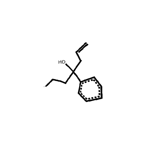 [CH2]CCC(O)(CC=C)c1ccccc1